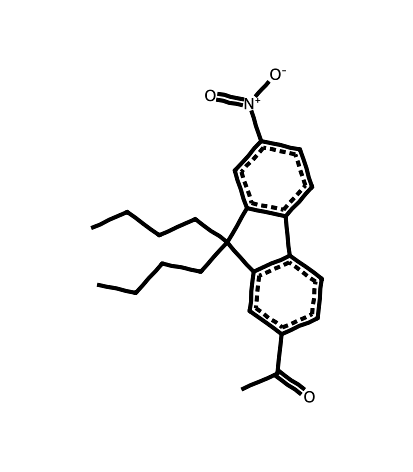 CCCCC1(CCCC)c2cc(C(C)=O)ccc2-c2ccc([N+](=O)[O-])cc21